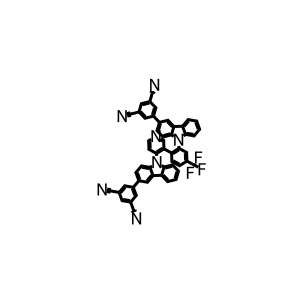 N#Cc1cc(C#N)cc(-c2ccc3c(c2)c2ccccc2n3-c2ccncc2-c2ccc(C(F)(F)F)cc2-n2c3ccccc3c3cc(-c4cc(C#N)cc(C#N)c4)ccc32)c1